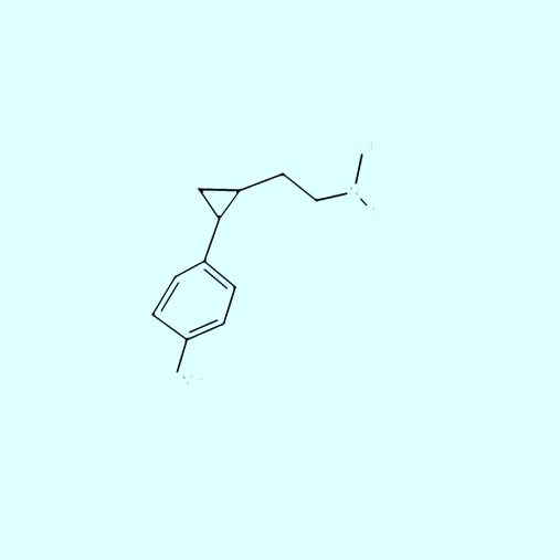 COc1ccc(C2CC2CCN(O)C(C)=O)cc1